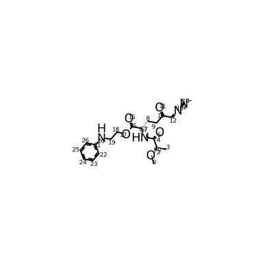 CO[C@H](C)C(=O)N[C@@H](CCC(=O)C=[N+]=[N-])C(=O)OCCNc1ccccc1